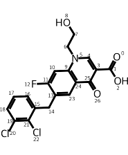 O=C(O)c1cn(CCO)c2cc(F)c(Cc3cccc(Cl)c3Cl)cc2c1=O